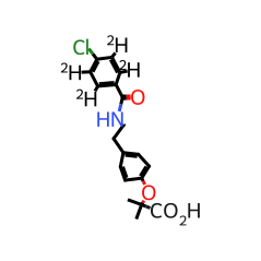 [2H]c1c([2H])c(C(=O)NCCc2ccc(OC(C)(C)C(=O)O)cc2)c([2H])c([2H])c1Cl